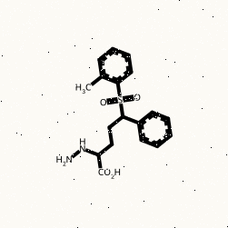 Cc1ccccc1S(=O)(=O)C(CCC(NN)C(=O)O)c1ccccc1